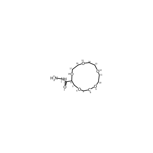 NNC(=O)C1COCCOCCOCCOCCO1